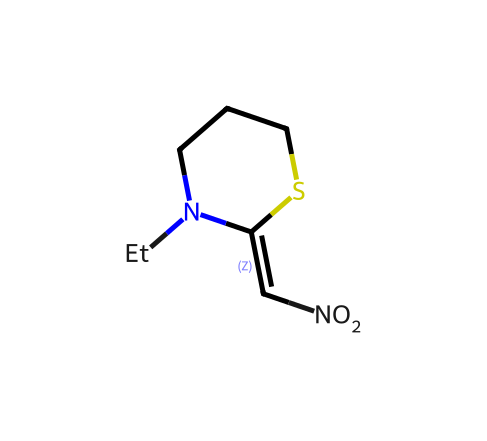 CCN1CCCS/C1=C\[N+](=O)[O-]